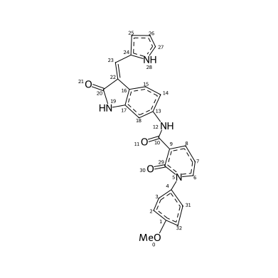 COc1ccc(-n2cccc(C(=O)Nc3ccc4c(c3)NC(=O)C4=Cc3ccc[nH]3)c2=O)cc1